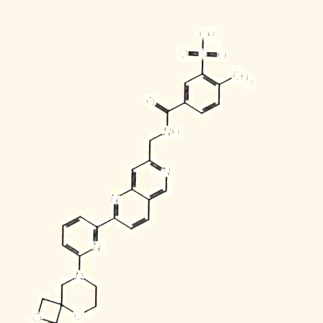 Cc1ccc(C(=O)NCc2cc3nc(-c4cccc(N5CCOC6(COC6)C5)n4)ccc3cn2)cc1S(C)(=O)=O